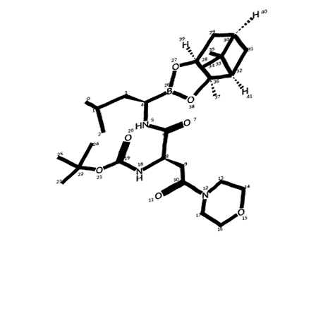 CC(C)C[C@H](NC(=O)[C@@H](CC(=O)N1CCOCC1)NC(=O)OC(C)(C)C)B1O[C@H]2C[C@H]3C[C@H](C3(C)C)[C@@]2(C)O1